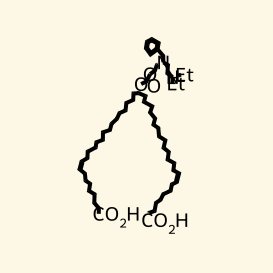 CCN(CC)CCN(CCOC(=O)OC(CCCCCCCCCCCCCC/C=C\CCCCCCCC(=O)O)CCCCCCCCCCCCCC/C=C\CCCCCCCC(=O)O)Cc1ccccc1